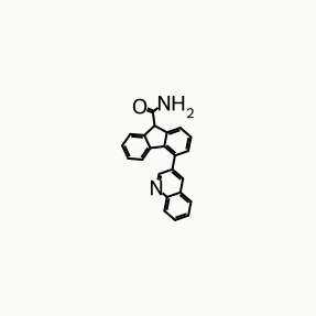 NC(=O)C1c2ccccc2-c2c(-c3cnc4ccccc4c3)cccc21